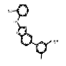 N#Cc1ccccc1Nc1nc2ccc(-c3cc(F)cc(C(=O)O)c3)cn2n1